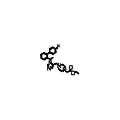 CCOC(=O)CN1CCN(Cc2cncn2C(C)c2ccccc2-c2ccc(F)cc2)CC1